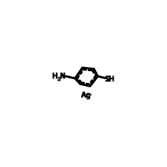 Nc1ccc(S)cc1.[Ag]